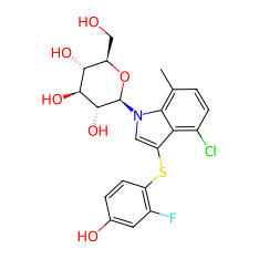 Cc1ccc(Cl)c2c(Sc3ccc(O)cc3F)cn([C@@H]3O[C@H](CO)[C@@H](O)[C@H](O)[C@H]3O)c12